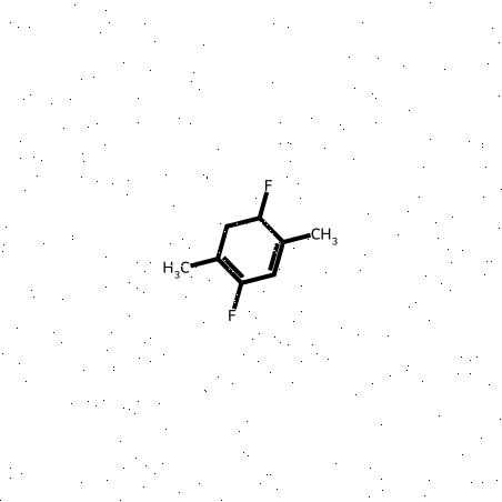 CC1=CC(F)=C(C)CC1F